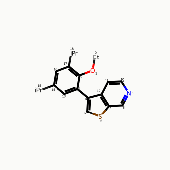 CCOc1c(-c2csc3cn[c]cc23)cc(C(C)C)cc1C(C)C